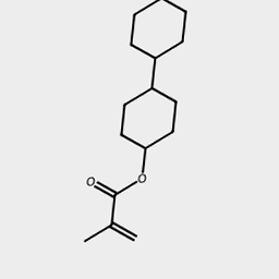 C=C(C)C(=O)OC1CCC(C2CCCCC2)CC1